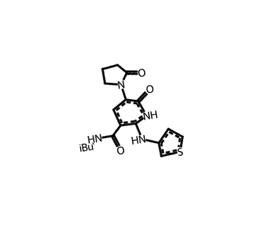 CCC(C)NC(=O)c1cc(N2CCCC2=O)c(=O)[nH]c1Nc1ccsc1